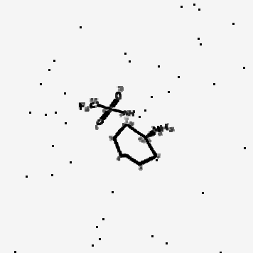 N[C@H]1CCCC[C@@H]1NS(=O)(=O)C(F)(F)F